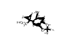 O=C(O)C1(c2cc3c(cc2Br)OC(F)(F)O3)CC1